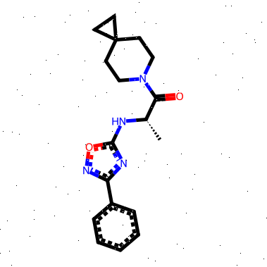 C[C@H](Nc1nc(-c2ccccc2)no1)C(=O)N1CCC2(CC1)CC2